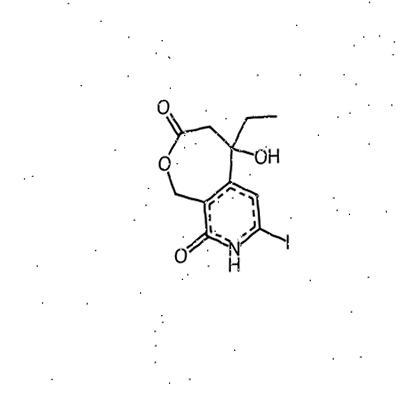 CCC1(O)CC(=O)OCc2c1cc(I)[nH]c2=O